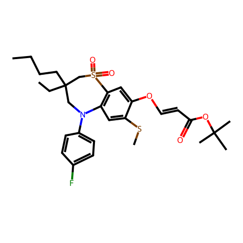 CCCCC1(CC)CN(c2ccc(F)cc2)c2cc(SC)c(O/C=C/C(=O)OC(C)(C)C)cc2S(=O)(=O)C1